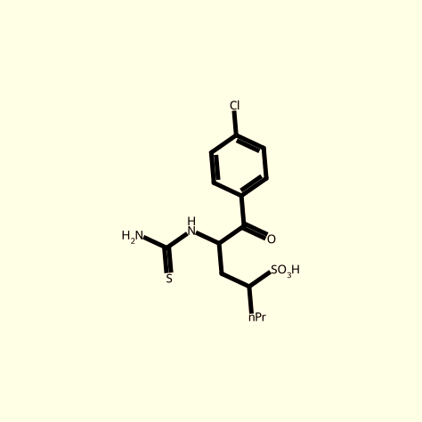 CCCC(CC(NC(N)=S)C(=O)c1ccc(Cl)cc1)S(=O)(=O)O